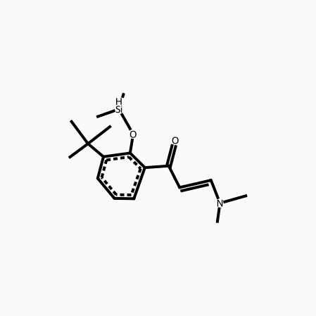 CN(C)C=CC(=O)c1cccc(C(C)(C)C)c1O[SiH](C)C